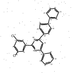 Clc1cc(Cl)cc(-c2nc(-c3ccccc3)cc(-c3ccc(-c4ccccc4)cc3)n2)c1